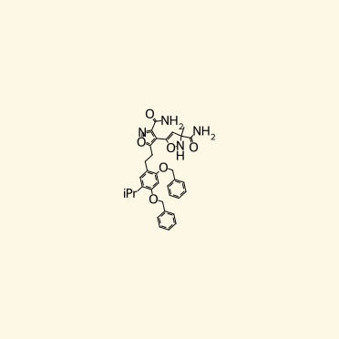 CC(C)c1cc(CCc2onc(C(N)=O)c2C2=CC(C)(C(N)=O)NO2)c(OCc2ccccc2)cc1OCc1ccccc1